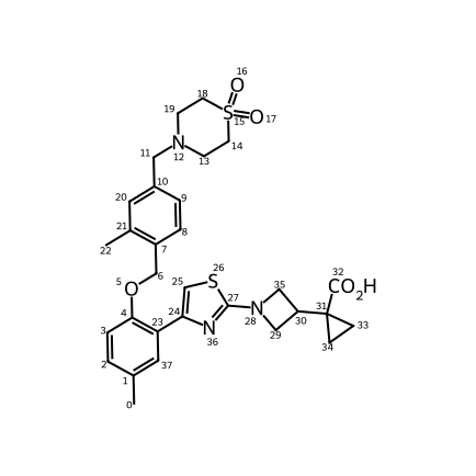 Cc1ccc(OCc2ccc(CN3CCS(=O)(=O)CC3)cc2C)c(-c2csc(N3CC(C4(C(=O)O)CC4)C3)n2)c1